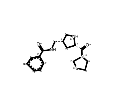 O=C(NC[C@@H]1CN[C@H](C(=O)N2CCSC2)C1)c1ccccc1